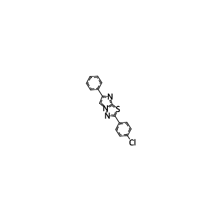 Clc1ccc(-c2nn3cc(-c4ccccc4)nc3s2)cc1